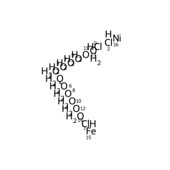 Cl.Cl.Cl.O.O.O.O.O.O.O.O.O.O.O.O.[Fe].[Ni]